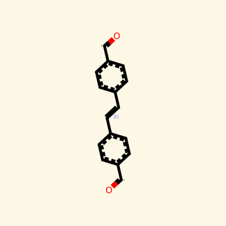 O=[C]c1ccc(/C=C/c2ccc([C]=O)cc2)cc1